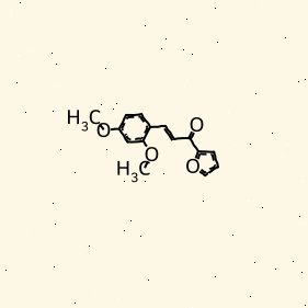 COc1ccc(/C=C/C(=O)c2ccco2)c(OC)c1